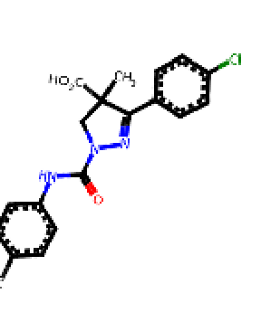 CC1(C(=O)O)CN(C(=O)Nc2ccc(C(F)(F)F)cc2)N=C1c1ccc(Cl)cc1